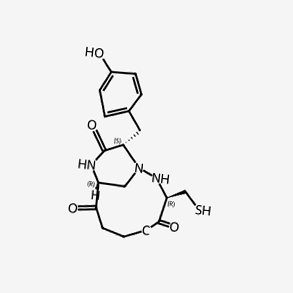 O=C1CCCC(=O)[C@H]2CN(N[C@H]1CS)[C@@H](Cc1ccc(O)cc1)C(=O)N2